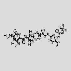 C=C(/C=C\C(=C/C)OCC(=O)OC(C)(C)C)CCC(=O)N1CCC2(CC1)CN/C(=N\C(=O)c1nc(Cl)c(N)nc1N)N2